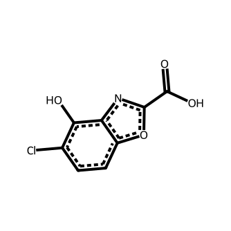 O=C(O)c1nc2c(O)c(Cl)ccc2o1